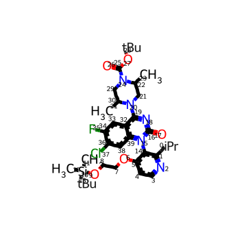 CC(C)c1nccc(OCCO[Si](C)(C)C(C)(C)C)c1-n1c(=O)nc(N2CC(C)N(C(=O)OC(C)(C)C)CC2C)c2cc(F)c(Cl)cc21